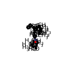 C[C@@H](C(=O)NC(Cc1ccc(/C=C/c2ccc(C(=O)N[C@H]3C[C@@H](C(=O)N[C@@H]4CCCc5ccccc54)N(C(=O)[C@@H](NC(=O)[C@H](C)N(C)C(=O)OC(C)(C)C)C(C)(C)C)C3)cc2)cc1)C(=O)O)N(C)C(=O)OC(C)(C)C